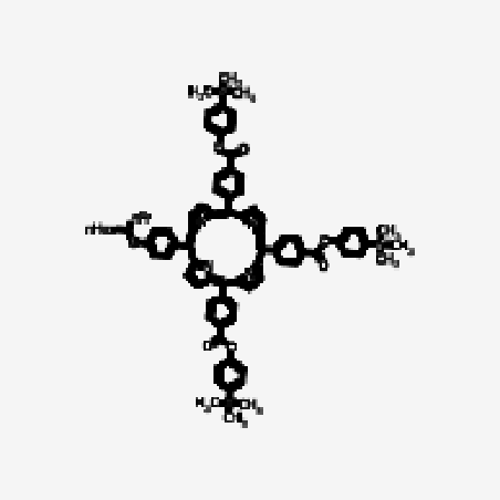 CCCCCCC(CCC)Oc1ccc(-c2c3nc(c(-c4ccc(C(=O)Oc5ccc([N+](C)(C)C)cc5)cc4)c4ccc([nH]4)c(-c4ccc(C(=O)Oc5ccc([N+](C)(C)C)cc5)cc4)c4nc(c(-c5ccc(C(=O)Oc6ccc([N+](C)(C)C)cc6)cc5)c5ccc2[nH]5)C=C4)C=C3)cc1